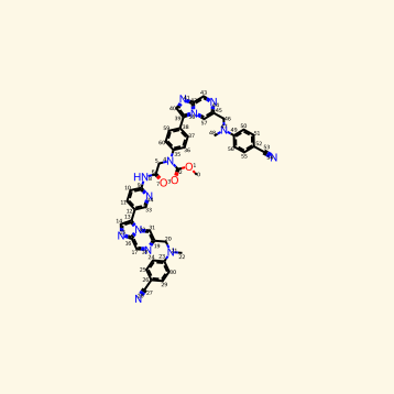 COC(=O)N(CC(=O)Nc1ccc(-c2cnc3cnc(CN(C)c4ccc(C#N)cc4)cn23)cn1)c1ccc(-c2cnc3cnc(CN(C)c4ccc(C#N)cc4)cn23)cc1